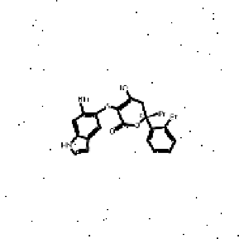 CCc1ccccc1[C@@]1(C(C)C)CC(O)=C(Sc2cc3cc[nH]c3cc2C(C)(C)C)C(=O)O1